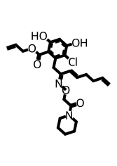 C=CCC/C=C/C(Cc1c(Cl)c(O)cc(O)c1C(=O)OCC=C)=N\OCC(=O)N1CCCCC1